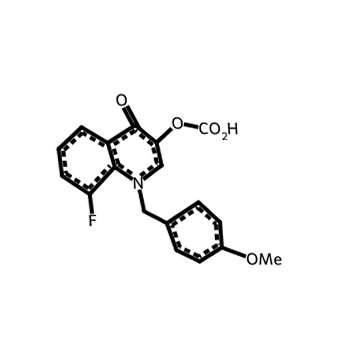 COc1ccc(Cn2cc(OC(=O)O)c(=O)c3cccc(F)c32)cc1